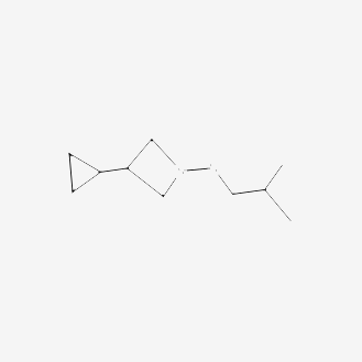 CC(C)CNN1CC(C2CC2)C1